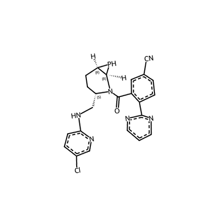 N#Cc1ccc(-c2ncccn2)c(C(=O)N2[C@H](CNc3ccc(Cl)cn3)CC[C@H]3P[C@H]32)c1